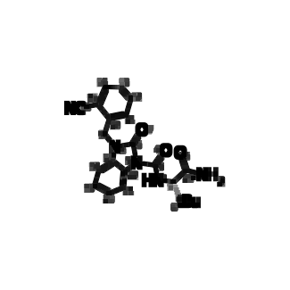 CC(C)(C)[C@H](NC(=O)n1c(=O)n(Cc2ccccc2C#N)c2ccccc21)C(N)=O